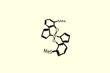 CSc1ccccc1[O][Zr]([O]c1ccccc1SC)([CH]1C=CC=C1)[CH]1C=CC=C1